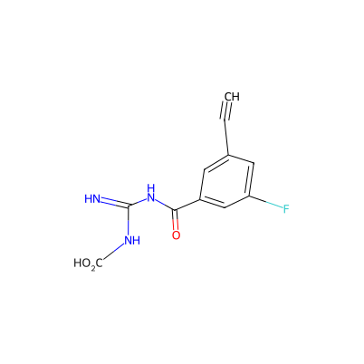 C#Cc1cc(F)cc(C(=O)NC(=N)NC(=O)O)c1